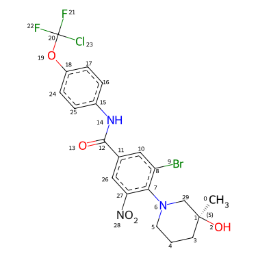 C[C@]1(O)CCCN(c2c(Br)cc(C(=O)Nc3ccc(OC(F)(F)Cl)cc3)cc2[N+](=O)[O-])C1